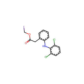 O=C(Cc1ccccc1Nc1c(Cl)cccc1Cl)OCI